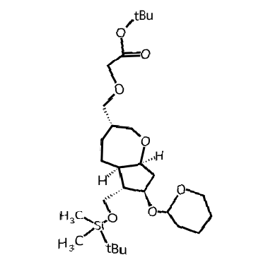 CC(C)(C)OC(=O)COC[C@H]1CC[C@@H]2[C@@H](CO[Si](C)(C)C(C)(C)C)[C@H](OC3CCCCO3)C[C@@H]2OC1